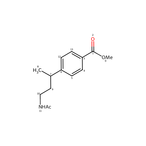 COC(=O)c1ccc(C(C)CCNC(C)=O)cc1